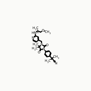 COC[C@@H](C)Nc1cc(CN2C(=O)N(c3ccc(C(C)(C)C#N)cc3)C(=O)C2(C)C)ccn1